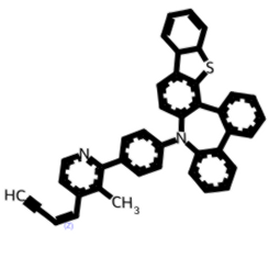 C#C/C=C\c1ccnc(-c2ccc(N3c4ccccc4-c4ccccc4-c4c3ccc3c4SC4C=CC=CC34)cc2)c1C